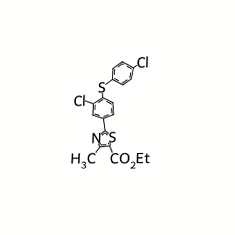 CCOC(=O)c1sc(-c2ccc(Sc3ccc(Cl)cc3)c(Cl)c2)nc1C